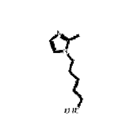 Cc1nccn1CCCCCC=O